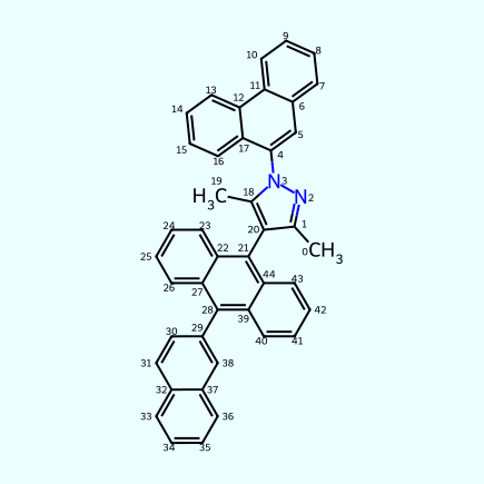 Cc1nn(-c2cc3ccccc3c3ccccc23)c(C)c1-c1c2ccccc2c(-c2ccc3ccccc3c2)c2ccccc12